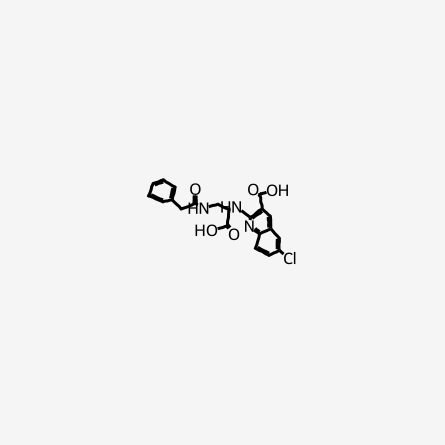 O=C(Cc1ccccc1)NCC(Nc1nc2ccc(Cl)cc2cc1C(=O)O)C(=O)O